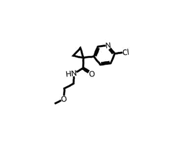 COCCNC(=O)C1(c2ccc(Cl)nc2)CC1